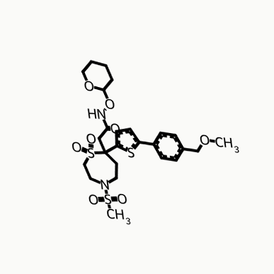 COCc1ccc(-c2ccc(C3(CC(=O)NOC4CCCCO4)CCN(S(C)(=O)=O)CCS3(=O)=O)s2)cc1